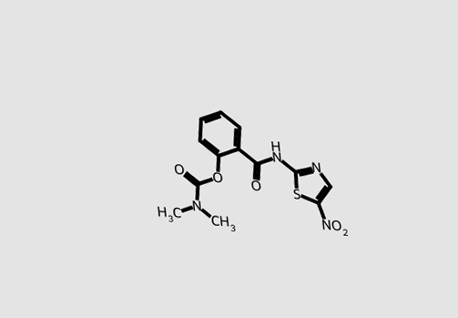 CN(C)C(=O)Oc1ccccc1C(=O)Nc1ncc([N+](=O)[O-])s1